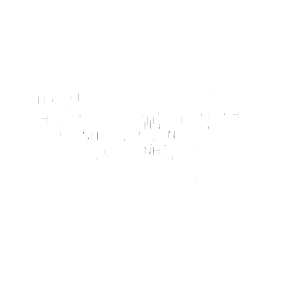 CO[C@@]1(NC(=O)Cc2ccc(CNC(=O)OC(C)(C)C)o2)C(=O)N2C(C(=O)OC(c3ccccc3)c3ccccc3)=C(COC(C)=O)CS[C@@H]21